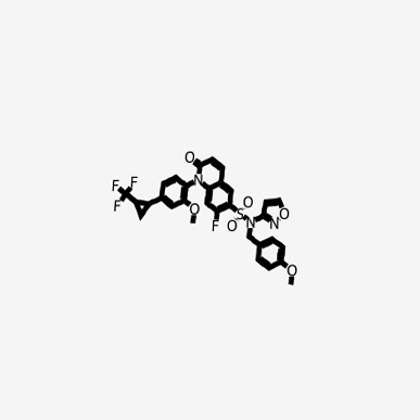 COc1ccc(CN(c2ccon2)S(=O)(=O)c2cc3ccc(=O)n(-c4ccc(C5CC5C(F)(F)F)cc4OC)c3cc2F)cc1